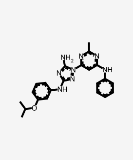 Cc1nc(Nc2ccccc2)cc(-n2nc(Nc3cccc(OC(C)C)c3)nc2N)n1